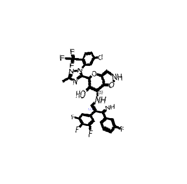 Cc1nc(C2OC3CNOC3[C@@H](N/C=C(\C(=N)c3cccc(F)c3)c3cc(F)c(F)c(F)c3)C2O)n(-c2cc(Cl)ccc2C(F)(F)F)n1